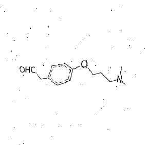 CN(C)CCCOc1ccc(CC=O)cc1